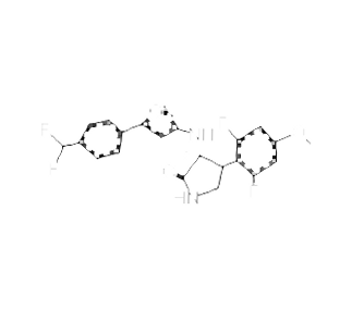 COc1cc(F)c(C2CNC(=O)[C@@H]2Nc2cc(-c3ccc(C(F)F)cc3)on2)c(F)c1